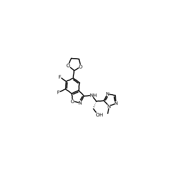 Cn1ncnc1[C@H](CO)Nc1noc2c(F)c(F)c(C3OCCO3)cc12